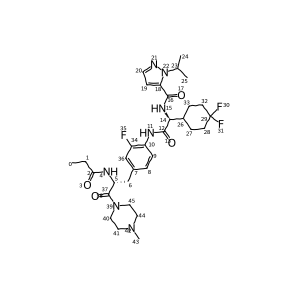 CCC(=O)N[C@H](Cc1ccc(NC(=O)[C@@H](NC(=O)c2ccnn2C(C)C)C2CCC(F)(F)CC2)c(F)c1)C(=O)N1CCN(C)CC1